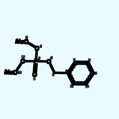 COOP(=O)(OCc1ccccc1)OOC